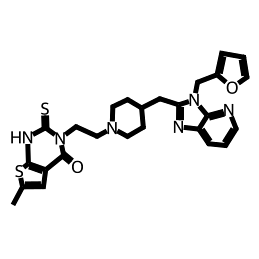 Cc1cc2c(=O)n(CCN3CCC(Cc4nc5cccnc5n4Cc4ccco4)CC3)c(=S)[nH]c2s1